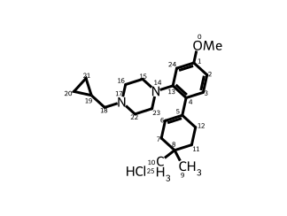 COc1ccc(C2=CCC(C)(C)CC2)c(N2CCN(CC3CC3)CC2)c1.Cl